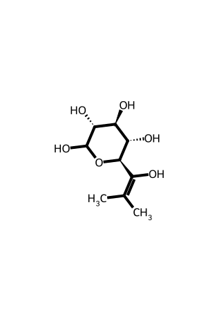 CC(C)=C(O)[C@H]1OC(O)[C@H](O)[C@@H](O)[C@@H]1O